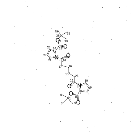 CC(C)(C)OC(=O)c1cccn1C(=O)CCCCC(=O)n1cccc1C(=O)OC(C)(C)C